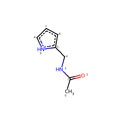 CC(=O)NCc1ccc[nH]1